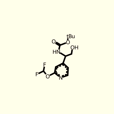 CC(C)(C)OC(=O)NC(CO)c1ccnc(OC(F)F)c1